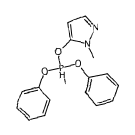 Cn1nccc1O[PH](C)(Oc1ccccc1)Oc1ccccc1